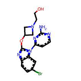 Nc1nccc(-n2c(OC3CN(CCO)C3)nc3ccc(Br)cc32)n1